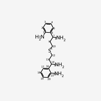 Nc1ccccc1C(N)CCSCCC(N)c1ccccc1N